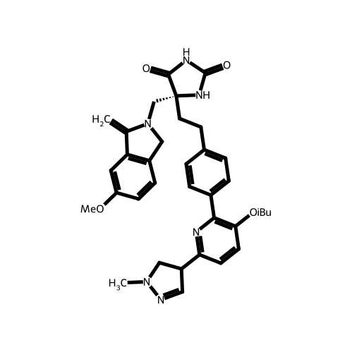 C=C1c2cc(OC)ccc2CN1C[C@@]1(CCc2ccc(-c3nc(C4C=NN(C)C4)ccc3OCC(C)C)cc2)NC(=O)NC1=O